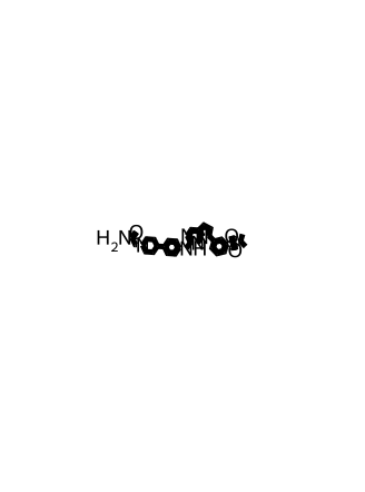 CC(C)S(=O)(=O)c1cccc(-c2ccc3cnc(Nc4ccc(C5CCN(CC(N)=O)CC5)cc4)nn23)c1